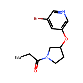 CC(C)(C)CC(=O)N1CCC(Oc2cncc(Br)c2)C1